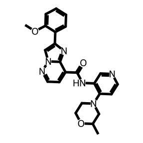 COc1ccccc1-c1cn2nccc(C(=O)Nc3cnccc3N3CCOC(C)C3)c2n1